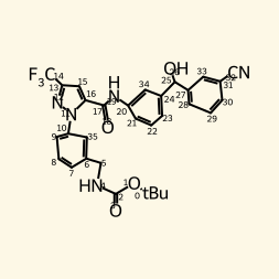 CC(C)(C)OC(=O)NCc1cccc(-n2nc(C(F)(F)F)cc2C(=O)Nc2cccc(C(O)c3cccc(C#N)c3)c2)c1